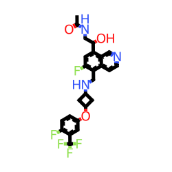 CC(=O)NCC(O)c1cc(F)c(CNC2CC(Oc3ccc(F)c(C(F)(F)F)c3)C2)c2ccncc12